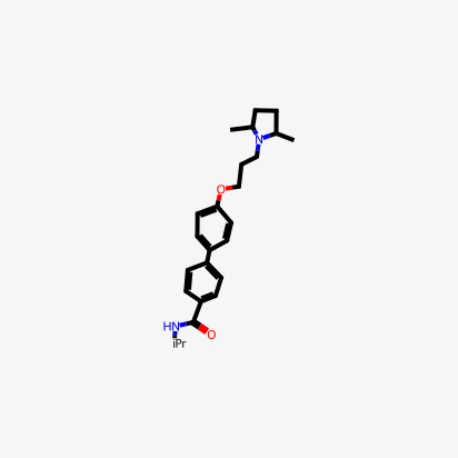 CC(C)NC(=O)c1ccc(-c2ccc(OCCCN3C(C)CCC3C)cc2)cc1